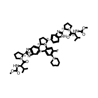 COC(=O)NC(C(=O)N1CCC[C@H]1c1nc2cc([C@H]3CC[C@H](c4ccc5[nH]c([C@@H]6CCCN6C(=O)[C@@H](NC(=O)OC)C(C)C)nc5c4)N3c3cc(F)c(N4CCCCC4)cc3F)ccc2[nH]1)C(C)C